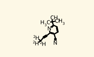 [2H]C([2H])([2H])C#Cc1nc(C(C)(C)C)ccc1C#N